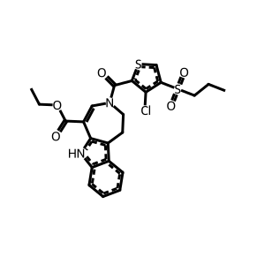 CCCS(=O)(=O)c1csc(C(=O)N2C=C(C(=O)OCC)c3[nH]c4ccccc4c3CC2)c1Cl